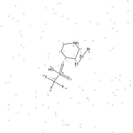 C1CCNCC1.C[CH2][Zn][Br].O=S(=O)(O)C(F)(F)F